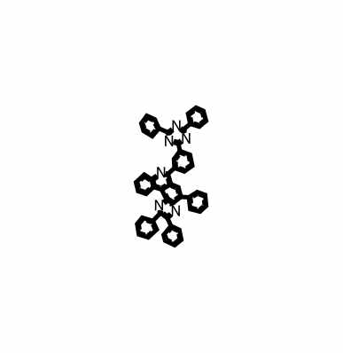 c1ccc(-c2nc(-c3ccccc3)nc(-c3cccc(-c4nc5ccccc5c5c4cc(-c4ccccc4)c4nc(-c6ccccc6)c(-c6ccccc6)nc45)c3)n2)cc1